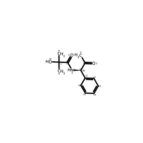 CC(=O)[C@H](NC(=O)C(C)(C)O)c1ccccc1